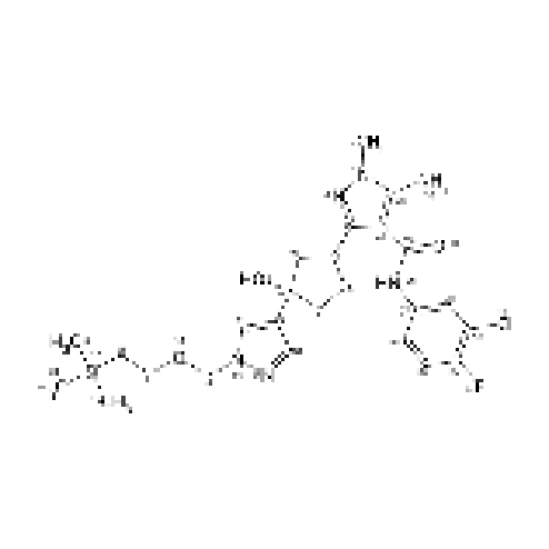 Cn1nc(C2CCC(O)(c3cnn(COCC[Si](C)(C)C)c3)C2)c(C(=O)Nc2ccc(F)c(Cl)c2)c1N